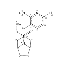 CC(C)(C)OC(=O)N1C2CCC1CN(Cc1ccc(Cl)nc1N)C2